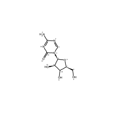 Nc1ncn([C@H]2O[C@@H](CO)C(O)[C@H]2O)c(=O)n1